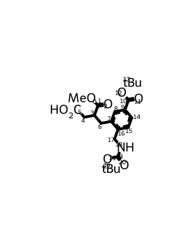 COC(=O)C(CC(=O)O)Cc1cc(C(=O)OC(C)(C)C)ccc1CNC(=O)OC(C)(C)C